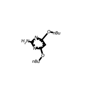 CCCCOc1cc(OCCCC)nc(N)n1